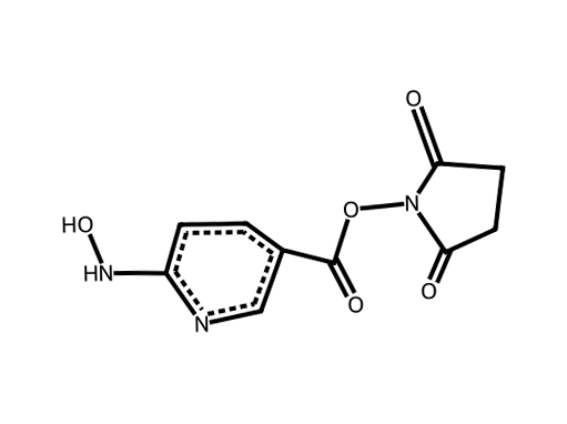 O=C(ON1C(=O)CCC1=O)c1ccc(NO)nc1